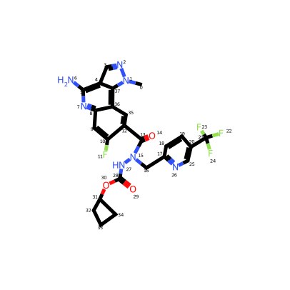 Cn1ncc2c(N)nc3cc(F)c(C(=O)N(Cc4ccc(C(F)(F)F)cn4)NC(=O)OC4CCC4)cc3c21